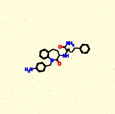 NC(=O)[C@H](CCc1ccccc1)NC1CCc2ccccc2N(Cc2ccc(N)cc2)C1=O